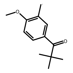 [CH2]c1cc(C(=O)C(C)(C)C)ccc1OC